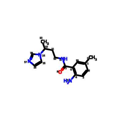 Cc1ccc(N)c(C(=O)NCCC(C)n2ccnc2)c1